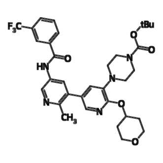 Cc1ncc(NC(=O)c2cccc(C(F)(F)F)c2)cc1-c1cnc(OC2CCOCC2)c(N2CCN(C(=O)OC(C)(C)C)CC2)c1